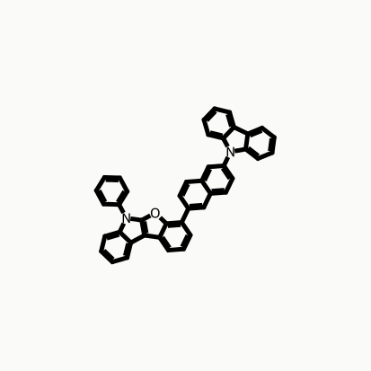 c1ccc(-n2c3ccccc3c3c4cccc(-c5ccc6cc(-n7c8ccccc8c8ccccc87)ccc6c5)c4oc32)cc1